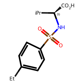 CCc1ccc(S(=O)(=O)N[C@H](C(=O)O)C(C)C)cc1